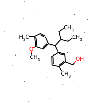 CCC(CC)C(c1ccc(C)c(CO)c1)c1ccc(C)c(OC)c1